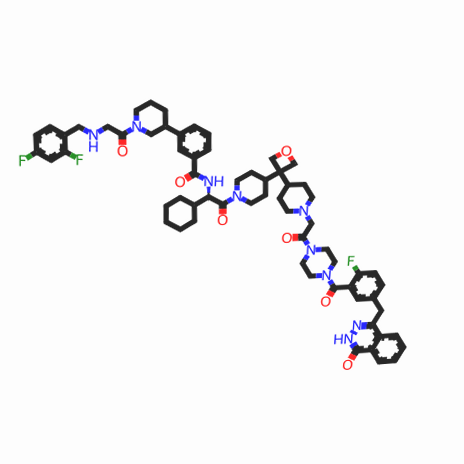 O=C(N[C@@H](C(=O)N1CCC(C2(C3CCN(CC(=O)N4CCN(C(=O)c5cc(Cc6n[nH]c(=O)c7ccccc67)ccc5F)CC4)CC3)COC2)CC1)C1CCCCC1)c1cccc(C2CCCN(C(=O)CNCc3ccc(F)cc3F)C2)c1